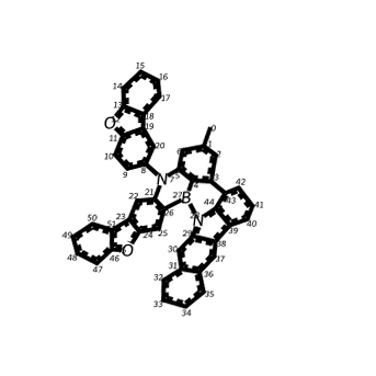 Cc1cc2c3c(c1)N(c1ccc4oc5ccccc5c4c1)c1cc4c(cc1B3n1c3cc5ccccc5cc3c3cccc-2c31)oc1ccccc14